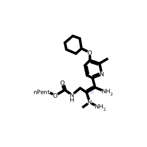 CCCCCOC(=O)NC/C(=C(/N)c1ccc(OC2CCCCC2)c(C)n1)N(C)N